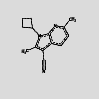 Cc1ccc2c(C#N)c(C)n(C3CCC3)c2n1